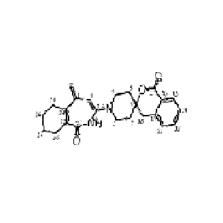 C=C1C=C(N2CCC3(CC2)Cc2ccccc2C(=O)O3)NC(=O)C2=C1CCCC2